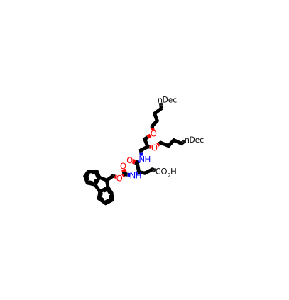 CCCCCCCCCCCCCCOCC(CNC(=O)C(CCC(=O)O)NC(=O)OCC1c2ccccc2-c2ccccc21)OCCCCCCCCCCCCCC